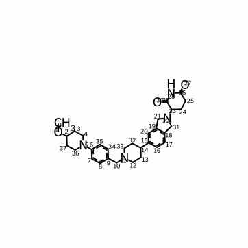 COC1CCN(c2ccc(CN3CCC(c4ccc5c(c4)CN(C4CCC(=O)NC4=O)C5)CC3)cc2)CC1